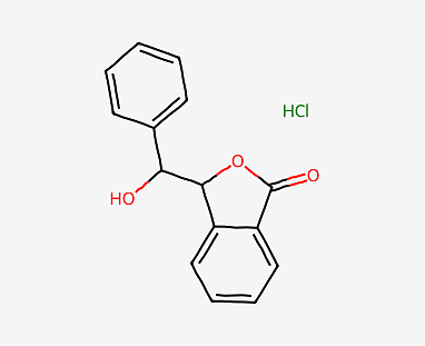 Cl.O=C1OC(C(O)c2ccccc2)c2ccccc21